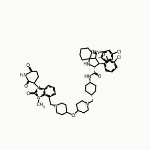 Cn1c(=O)n(C2CCC(=O)NC2=O)c2cccc(CN3CCC(OC4CCN(C[C@H]5CC[C@H](NC(=O)[C@@H]6NC7(CCCCC7)[C@@]7(C(=O)Nc8cc(Cl)ccc87)[C@H]6c6cccc(Cl)c6F)CC5)CC4)CC3)c21